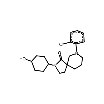 O=C1N(C2CCC(O)CC2)CCC12CCCN(c1ccccc1Cl)C2